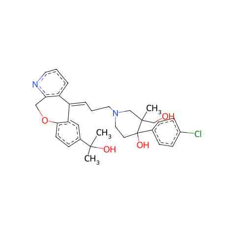 CC(C)(O)c1ccc2c(c1)/C(=C\CCN1CCC(O)(c3ccc(Cl)cc3)C(C)(CO)C1)c1cccnc1CO2